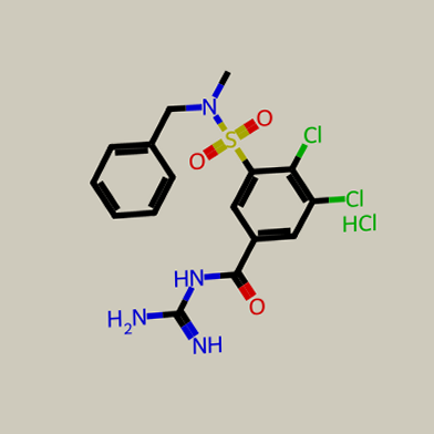 CN(Cc1ccccc1)S(=O)(=O)c1cc(C(=O)NC(=N)N)cc(Cl)c1Cl.Cl